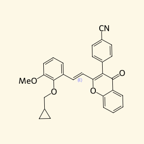 COc1cccc(/C=C/c2oc3ccccc3c(=O)c2-c2ccc(C#N)cc2)c1OCC1CC1